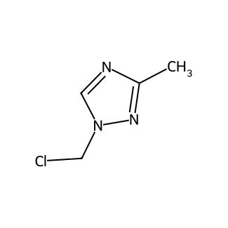 Cc1ncn(CCl)n1